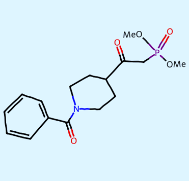 COP(=O)(CC(=O)C1CCN(C(=O)c2ccccc2)CC1)OC